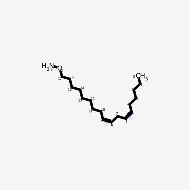 CCCCC/C=C\C/C=C\CCCCCCCCON